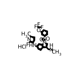 CNCc1cn(S(=O)(=O)c2cccc(OC(F)(F)F)c2)c2cc(Nc3ccc(C)nc3F)ccc12.Cl